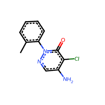 Cc1ccccc1-n1ncc(N)c(Cl)c1=O